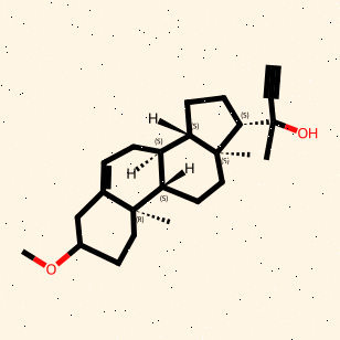 C#CC(C)(O)[C@H]1CC[C@H]2[C@@H]3CC=C4CC(OC)CC[C@]4(C)[C@H]3CC[C@]12C